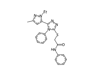 CCn1nc(C)cc1-c1nnc(SCC(=O)Nc2ccccc2)n1-c1ccccc1